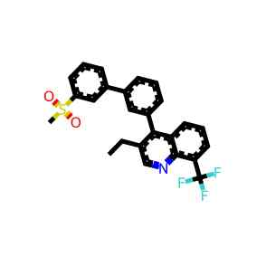 CCc1cnc2c(C(F)(F)F)cccc2c1-c1cccc(-c2cccc(S(C)(=O)=O)c2)c1